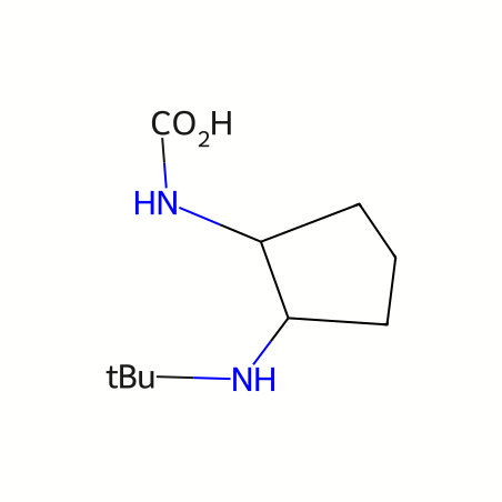 CC(C)(C)NC1CCCC1NC(=O)O